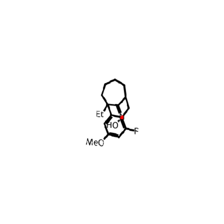 CCC12CCCCC(Cc3c(F)cc(OC)cc31)/C2=N/O